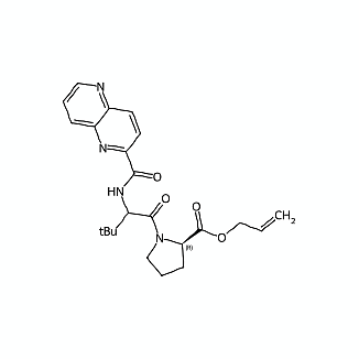 C=CCOC(=O)[C@H]1CCCN1C(=O)C(NC(=O)c1ccc2ncccc2n1)C(C)(C)C